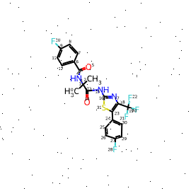 CC(C)(NC(=O)c1ccc(F)cc1)C(=O)Nc1nc(C(F)(F)F)c(-c2ccc(F)cc2)s1